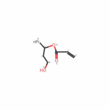 C=CC(=O)OC(CCC)CCO